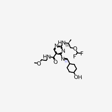 COCCNC(=O)c1cnc(N[C@@H](C)COC(F)F)nc1/N=C/C1CCC(O)CC1